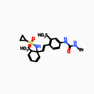 CC(C)NC(=O)Nc1ccc(/C=C/C2(NS(=O)(=O)C3CC3)C=CC=CC2S(=O)(=O)O)c(S(=O)(=O)O)c1